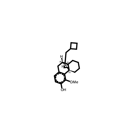 COc1c(O)ccc2c1[C@@]13CCCC[C@@]1(O)[C@@H](C2)N(CC1CCC1)CC3